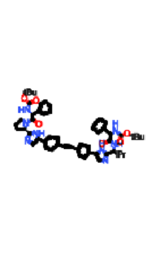 CC(C)[C@H](NC(=O)[C@H](NC(=O)OC(C)(C)C)c1ccccc1)c1ncc(-c2ccc(C#Cc3ccc(-c4cnc([C@@H]5CCCN5C(=O)[C@H](NC(=O)OC(C)(C)C)c5ccccc5)[nH]4)cc3)cc2)[nH]1